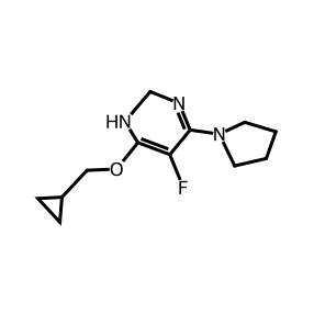 FC1=C(OCC2CC2)NCN=C1N1CCCC1